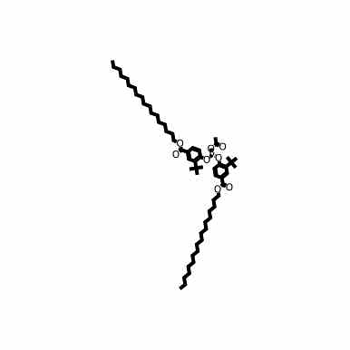 CCCCCCCCCCCCCCCCCCOC(=O)c1ccc(OP(OC(C)=O)Oc2ccc(C(=O)OCCCCCCCCCCCCCCCCCC)cc2C(C)(C)C)c(C(C)(C)C)c1